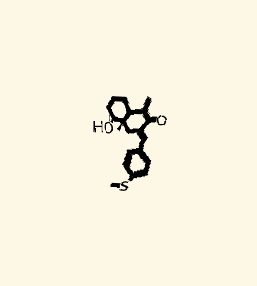 CSc1ccc(C=C2C[C@@]3(C)C(CCC[C@@H]3O)C(C)C2=O)cc1